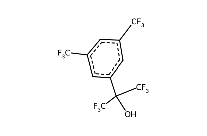 OC(c1cc(C(F)(F)F)cc(C(F)(F)F)c1)(C(F)(F)F)C(F)(F)F